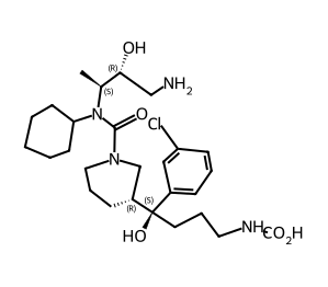 C[C@@H]([C@H](O)CN)N(C(=O)N1CCC[C@@H]([C@@](O)(CCCNC(=O)O)c2cccc(Cl)c2)C1)C1CCCCC1